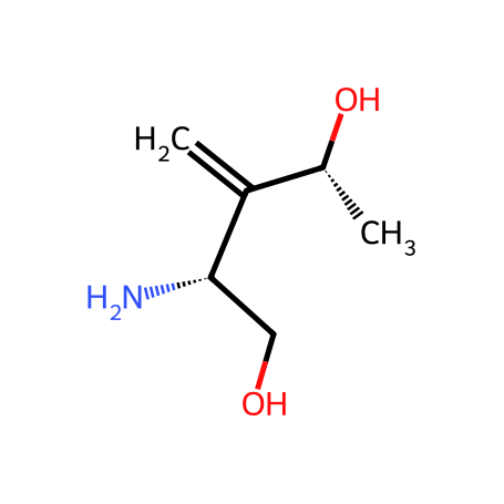 C=C([C@@H](C)O)[C@@H](N)CO